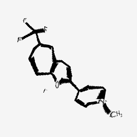 C[n+]1ccc(-c2cc3cc(C(F)(F)F)ccc3o2)cc1.[I-]